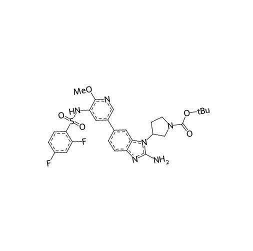 COc1ncc(-c2ccc3nc(N)n(C4CCN(C(=O)OC(C)(C)C)C4)c3c2)cc1NS(=O)(=O)c1ccc(F)cc1F